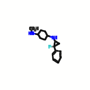 O=C(O)NC1CCC(NC2CC2(F)c2ccccc2)CC1